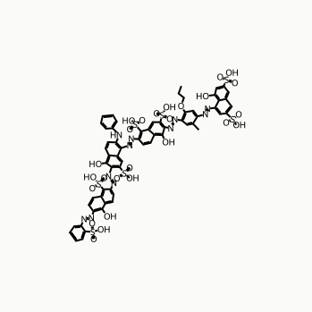 CCCOc1cc(N=Nc2cc(S(=O)(=O)O)cc3cc(S(=O)(=O)O)cc(O)c23)c(C)cc1N=Nc1c(S(=O)(=O)O)cc2c(S(=O)(=O)O)c(N=Nc3c(Nc4ccccc4)ccc4c(O)c(N=Nc5ccc6c(O)c(N=Nc7ccccc7S(=O)(=O)O)ccc6c5S(=O)(=O)O)c(S(=O)(=O)O)cc34)ccc2c1O